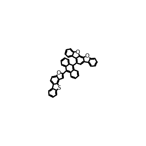 c1ccc2c(c1)oc1c2cc(-c2c3ccccc3c(-c3cc4c(ccc5c6ccccc6sc45)o3)c3ccccc23)c2c3ccccc3oc12